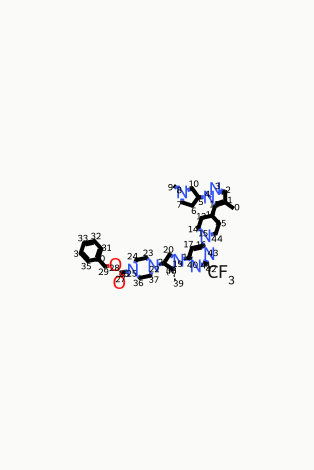 Cc1cnn(C2CCN(C)C2)c1C1CCN(c2cc(N3CC(N4CCN(C(=O)OCc5ccccc5)CC4)[C@H]3C)nc(C(F)(F)F)n2)CC1